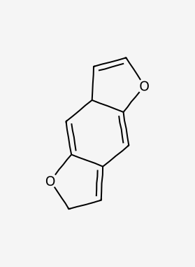 C1=CC2C=C3OCC=C3C=C2O1